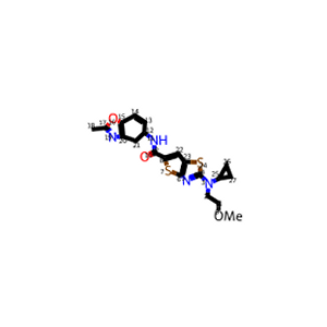 COCCN(c1nc2sc(C(=O)NC3C=Cc4oc(C)nc4C3)cc2s1)C1CC1